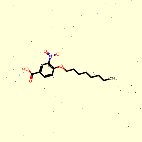 CCCCCCCCOc1ccc(C(=O)O)cc1[N+](=O)[O-]